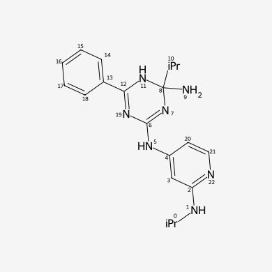 CC(C)Nc1cc(NC2=NC(N)(C(C)C)NC(c3ccccc3)=N2)ccn1